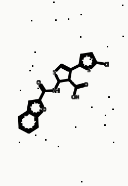 O=C(NC1SC=C(c2ccc(Cl)s2)C1C(=O)O)c1cc2ccccc2o1